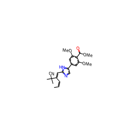 C/C=C\C(=C/c1ncc(-c2cc(OC)c(C(=O)OC)c(OC)c2)[nH]1)C(C)(C)C#N